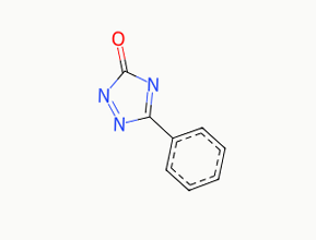 O=C1N=NC(c2ccccc2)=N1